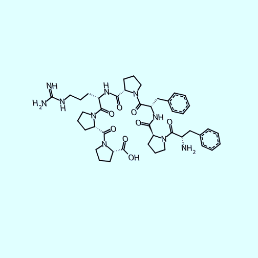 N=C(N)NCCC[C@H](NC(=O)[C@@H]1CCCN1C(=O)[C@H](Cc1ccccc1)NC(=O)[C@@H]1CCCN1C(=O)[C@@H](N)Cc1ccccc1)C(=O)N1CCC[C@H]1C(=O)N1CCC[C@H]1C(=O)O